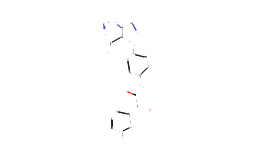 Nc1ncnc2cnn(-c3ccc(NC(=O)C(O)c4cccc(Cl)c4)cc3Cl)c12